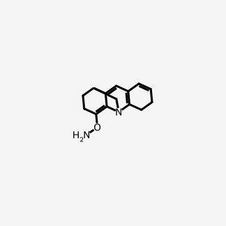 NOC1=C2C3=CC4=C(CCC=C4)N2CC3CC1